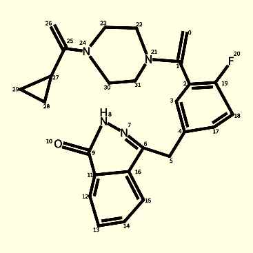 C=C(c1cc(Cc2n[nH]c(=O)c3ccccc23)ccc1F)N1CCN(C(=C)C2CC2)CC1